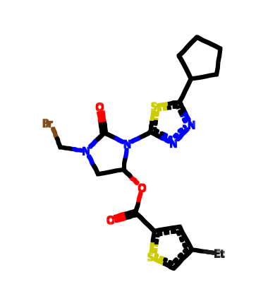 CCc1csc(C(=O)OC2CN(CBr)C(=O)N2c2nnc(C3CCCC3)s2)c1